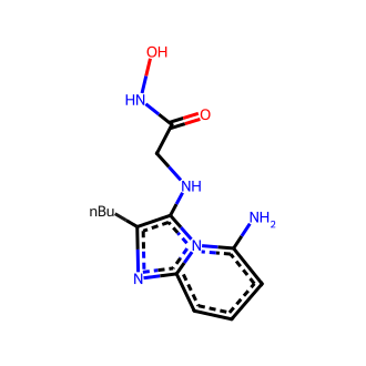 CCCCc1nc2cccc(N)n2c1NCC(=O)NO